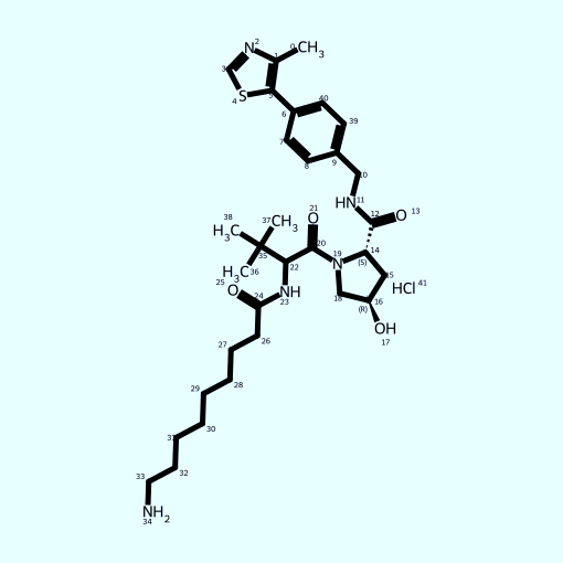 Cc1ncsc1-c1ccc(CNC(=O)[C@@H]2C[C@@H](O)CN2C(=O)C(NC(=O)CCCCCCCCN)C(C)(C)C)cc1.Cl